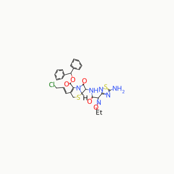 CCO/N=C(\C(=O)NC1C(=O)N2C(C(=O)OC(c3ccccc3)c3ccccc3)=C(C=CCCl)CS[C@@H]12)c1nsc(N)n1